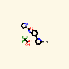 N#Cc1cccc(-c2ccc3oc([C@@H]4CCCN4)nc3c2)n1.O=C(O)C(F)(F)F